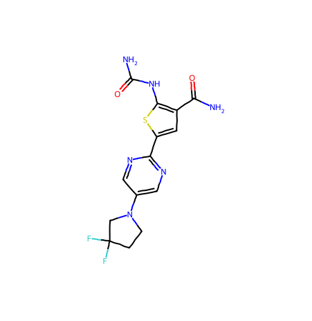 NC(=O)Nc1sc(-c2ncc(N3CCC(F)(F)C3)cn2)cc1C(N)=O